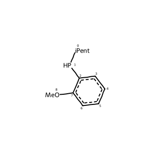 CCCC(C)Pc1ccccc1OC